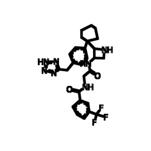 O=C(CNC(=O)c1cccc(C(F)(F)F)c1)NC1CNC1C1(c2ccc(Cc3nn[nH]n3)cc2)CCCCC1